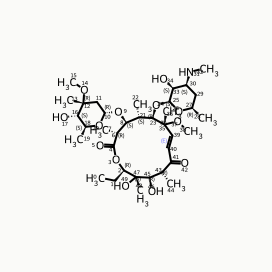 CC[C@H]1OC(=O)[C@H](C)[C@@H](O[C@H]2C[C@@](C)(OC)[C@@H](O)[C@H](C)O2)[C@H](C)[C@@H](O[C@@H]2O[C@H](C)C[C@H](NC)[C@@H]2O)[C@](C)(OC)/C=C/C(=O)[C@H](C)[C@@H](O)[C@]1(C)O